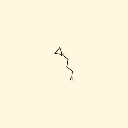 ClCCCN1CC1